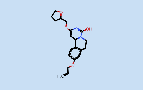 C=CCOc1ccc2c(c1)CCN1C(O)=NC(OCC3CCCO3)=CC21